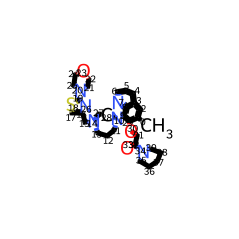 Cc1cc2cccnc2c(N2CCCN(Cc3csc(N4CCOCC4)n3)CC2)c1OCC(=O)N1CCCCC1